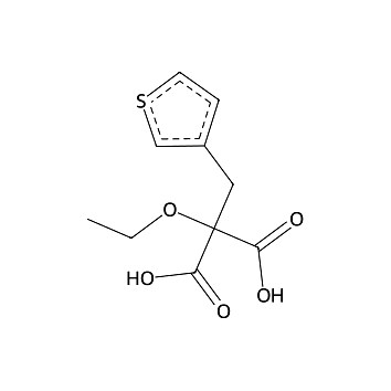 CCOC(Cc1ccsc1)(C(=O)O)C(=O)O